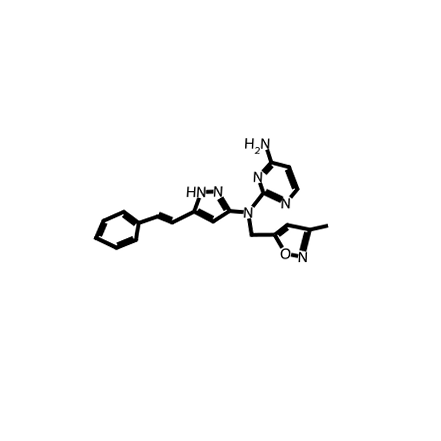 Cc1cc(CN(c2cc(C=Cc3ccccc3)[nH]n2)c2nccc(N)n2)on1